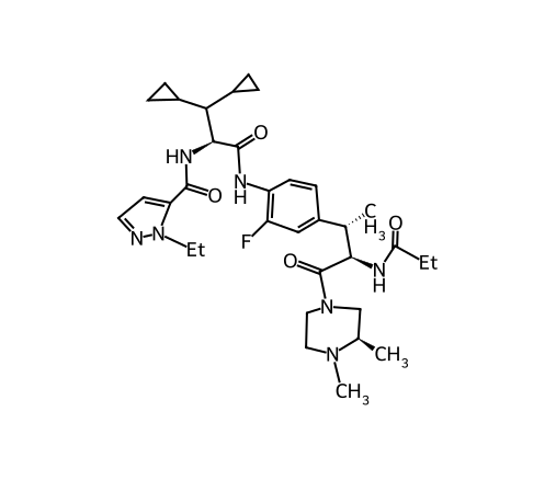 CCC(=O)N[C@@H](C(=O)N1CCN(C)[C@H](C)C1)[C@@H](C)c1ccc(NC(=O)[C@@H](NC(=O)c2ccnn2CC)C(C2CC2)C2CC2)c(F)c1